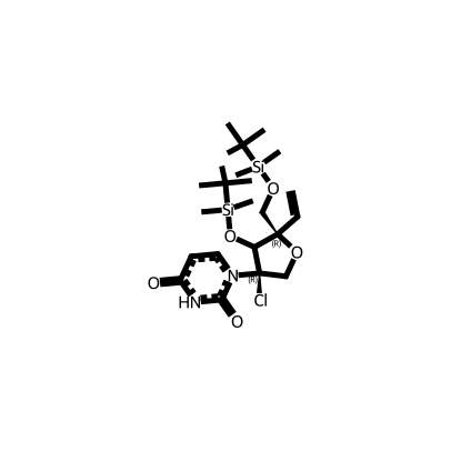 C=C[C@]1(CO[Si](C)(C)C(C)(C)C)OC[C@](Cl)(n2ccc(=O)[nH]c2=O)C1O[Si](C)(C)C(C)(C)C